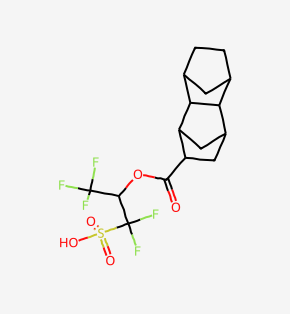 O=C(OC(C(F)(F)F)C(F)(F)S(=O)(=O)O)C1CC2CC1C1C3CCC(C3)C21